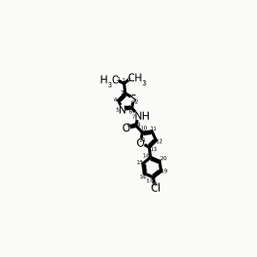 CC(C)c1cnc(NC(=O)c2ccc(-c3ccc(Cl)cc3)o2)s1